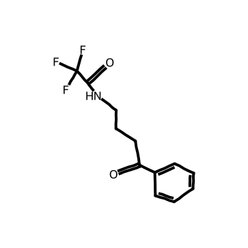 O=C(CCCNC(=O)C(F)(F)F)c1ccccc1